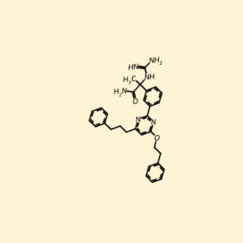 CC(NC(=N)N)(C(N)=O)c1cccc(-c2nc(CCCc3ccccc3)cc(OCCc3ccccc3)n2)c1